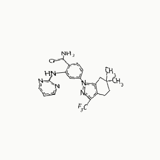 CC1(C)CCc2c(C(F)(F)F)nn(-c3ccc(C(N)=O)c(Nc4ncccn4)c3)c2C1